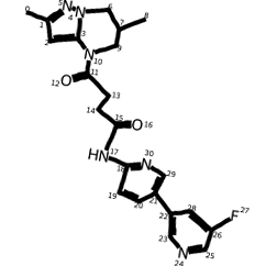 Cc1cc2n(n1)CC(C)CN2C(=O)CCC(=O)Nc1ccc(-c2cncc(F)c2)cn1